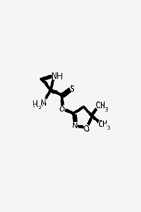 CC1(C)CC(OC(=S)C2(N)CN2)=NO1